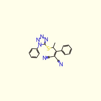 CC(Sc1nnnn1-c1ccccc1)C(=C(C#N)C#N)c1ccccc1